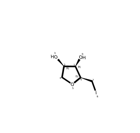 O[C@@H]1[C@H](O)CO[C@@H]1CI